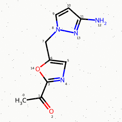 CC(=O)c1ncc(Cn2ccc(N)n2)o1